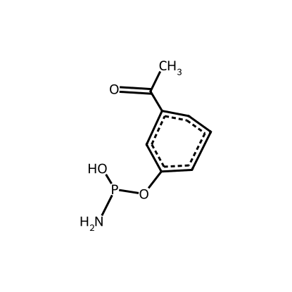 CC(=O)c1cccc(OP(N)O)c1